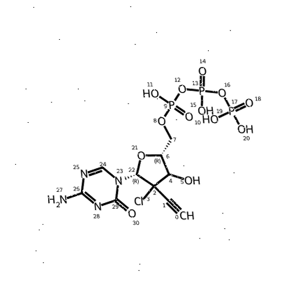 C#CC1(Cl)C(O)[C@@H](COP(=O)(O)OP(=O)(O)OP(=O)(O)O)O[C@H]1n1cnc(N)nc1=O